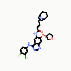 O=C(/C=C/CN1C2CCCC1CC2)Nc1cc2c(Nc3ccc(F)c(Cl)c3)ncnc2cc1O[C@H]1CCOC1